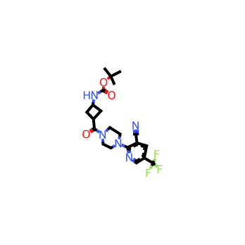 CC(C)(C)OC(=O)NC1CC(C(=O)N2CCN(c3ncc(C(F)(F)F)cc3C#N)CC2)C1